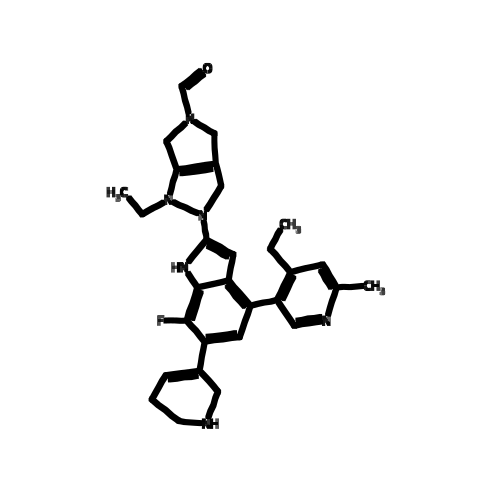 CCc1cc(C)ncc1-c1cc(C2=CCCNC2)c(F)c2[nH]c(N3CC4=C(CN(C=O)C4)N3CC)cc12